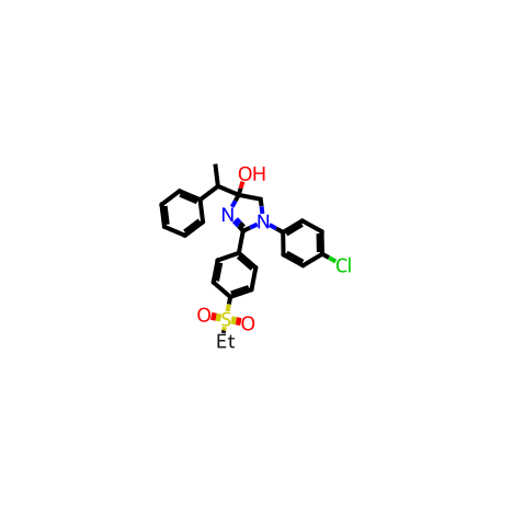 CCS(=O)(=O)c1ccc(C2=NC(O)(C(C)c3ccccc3)CN2c2ccc(Cl)cc2)cc1